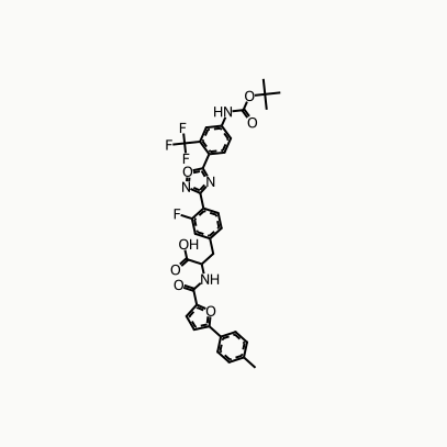 Cc1ccc(-c2ccc(C(=O)NC(Cc3ccc(-c4noc(-c5ccc(NC(=O)OC(C)(C)C)cc5C(F)(F)F)n4)c(F)c3)C(=O)O)o2)cc1